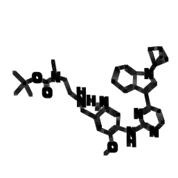 COc1cc(CNCCN(C)C(=O)OC(C)(C)C)c(N)cc1Nc1nccc(-c2cn(C34CC(C3)C4)c3ccccc23)n1